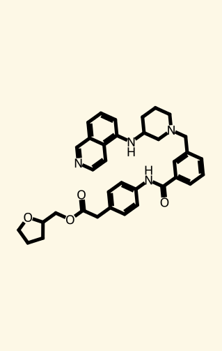 O=C(Cc1ccc(NC(=O)c2cccc(CN3CCCC(Nc4cccc5cnccc45)C3)c2)cc1)OCC1CCCO1